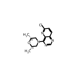 C[C@@H]1CN(c2ncnc3ccc(Cl)nc23)C[C@H](C)O1